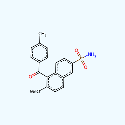 COc1ccc2cc(S(N)(=O)=O)ccc2c1C(=O)c1ccc(C)cc1